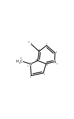 Cn1ccc2nccc(I)c21